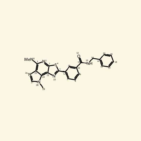 CNc1nc2sc(-c3cccc(C(=O)NCc4ccccc4)c3)nc2c2c1ncn2C